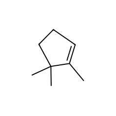 CC1=CCCC1(C)C